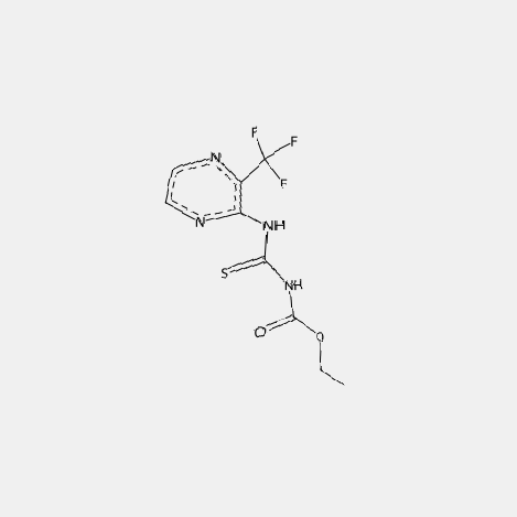 CCOC(=O)NC(=S)Nc1nccnc1C(F)(F)F